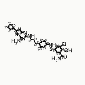 NC(=O)c1cc(SNc2ccc(CCCNc3nc(N)n4nc(-c5ccco5)nc4n3)c(F)c2)cc(Cl)c1O